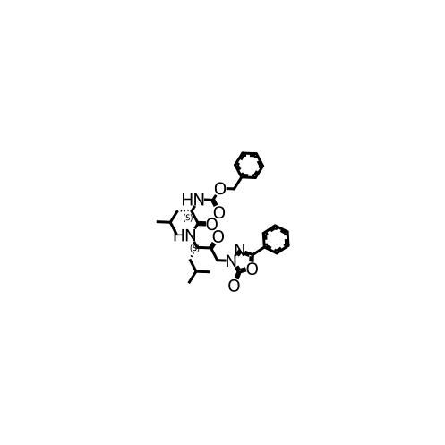 CC(C)C[C@H](NC(=O)[C@H](CC(C)C)NC(=O)OCc1ccccc1)C(=O)Cn1nc(-c2ccccc2)oc1=O